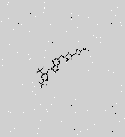 NC1CN(C2=NC(=O)C(=Cc3ccc4c(cnn4Cc4ccc(C(F)(F)F)cc4C(F)(F)F)c3)S2)C1